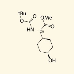 COC(=O)[C@@H](NC(=O)OC(C)(C)C)[C@H]1CC[C@@H](O)CC1